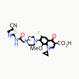 COc1c(N2CCN(CC(=O)Nc3ncc(C#N)s3)CC2)c(F)cc2c(=O)c(C(=O)O)cn(C3CC3)c12